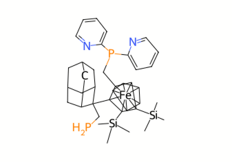 C[Si](C)(C)[C]12[CH]3[C]4(CP(c5ccccn5)c5ccccn5)[C]5(C6(CP)C7CC8CC(C7)CC6C8)[C]1([Si](C)(C)C)[Fe]34521678[CH]2[CH]1[CH]6[CH]7[CH]28